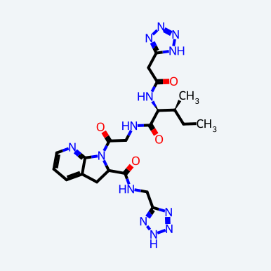 CC[C@H](C)[C@H](NC(=O)Cc1nnn[nH]1)C(=O)NCC(=O)N1c2ncccc2CC1C(=O)NCc1nn[nH]n1